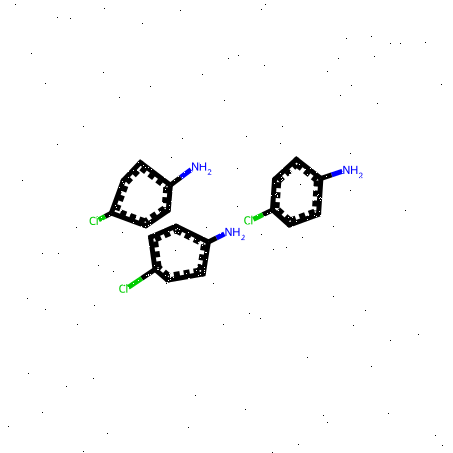 Nc1ccc(Cl)cc1.Nc1ccc(Cl)cc1.Nc1ccc(Cl)cc1